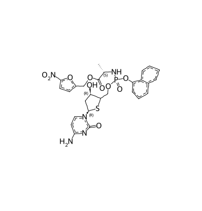 C[C@H](NP(=O)(OCC1S[C@@H](n2ccc(N)nc2=O)C[C@H]1O)Oc1cccc2ccccc12)C(=O)OCc1ccc([N+](=O)[O-])o1